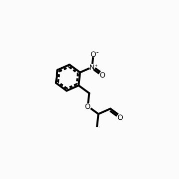 [CH2]C(C=O)OCc1ccccc1[N+](=O)[O-]